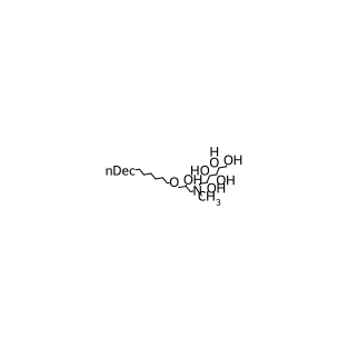 CCCCCCCCCCCCCCCCOCC(O)CN(C)CC(O)C(O)C(O)C(O)CO